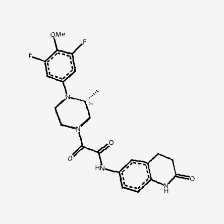 COc1c(F)cc(N2CCN(C(=O)C(=O)Nc3ccc4c(c3)CCC(=O)N4)C[C@H]2C)cc1F